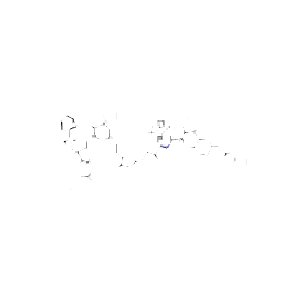 C=C1C[C@H](CCC(=O)/C=C/[C@H](O[Si](C)(C)C(C)(C)C)[C@@H]2OC3CCC(CC(=O)OC)OC3[C@H](C)[C@@H]2C)OC1CC[C@H]1C[C@@H](C)C(=C)[C@@H](CC2O[C@H](C[C@H](C)CC)[C@H](C)[C@H]2CS(=O)(=O)c2ccccc2)O1